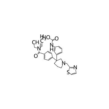 CCN(CC)C(=O)c1ccc(C2(c3cccc(NC(=O)O)c3)CCCN(Cc3nccs3)C2)cc1